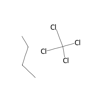 CCCC.ClC(Cl)(Cl)Cl